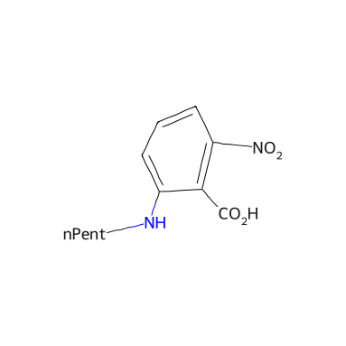 CCCCCNc1cccc([N+](=O)[O-])c1C(=O)O